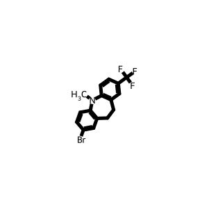 CN1c2ccc(Br)cc2CCc2cc(C(F)(F)F)ccc21